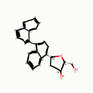 OC[C@H]1O[C@@H](c2ccc(-c3cccc4ccccc34)c3ccccc23)CC1O